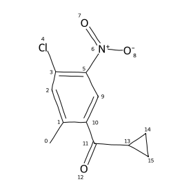 Cc1cc(Cl)c([N+](=O)[O-])cc1C(=O)C1CC1